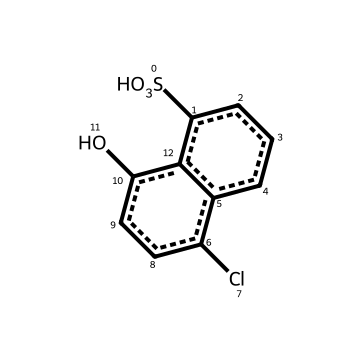 O=S(=O)(O)c1cccc2c(Cl)ccc(O)c12